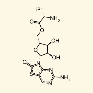 CC(C)[C@H](N)C(=O)OC[C@H]1O[C@@H](n2c(=O)sc3cnc(N)nc32)[C@H](O)[C@@H]1O